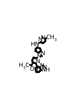 Cc1ccc(Nc2ccc3c(c2)ncn3-c2ccc(C(C)O)c(-c3cccc4[nH]nnc34)n2)nn1